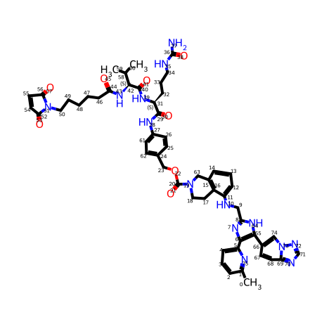 Cc1cccc(-c2nc(CNc3cccc4c3CCN(C(=O)OCc3ccc(NC(=O)[C@H](CCCNC(N)=O)NC(=O)[C@@H](NC(=O)CCCCCN5C(=O)C=CC5=O)C(C)C)cc3)C4)[nH]c2-c2ccc3ncnn3c2)n1